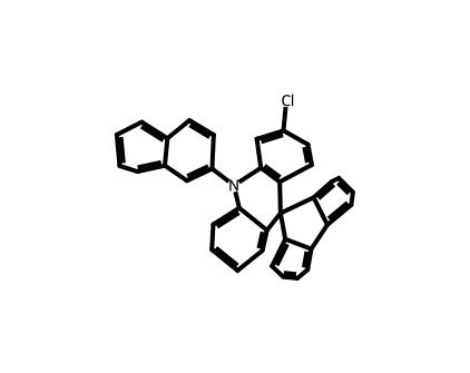 Clc1ccc2c(c1)N(c1ccc3ccccc3c1)c1ccccc1C21c2ccccc2-c2ccccc21